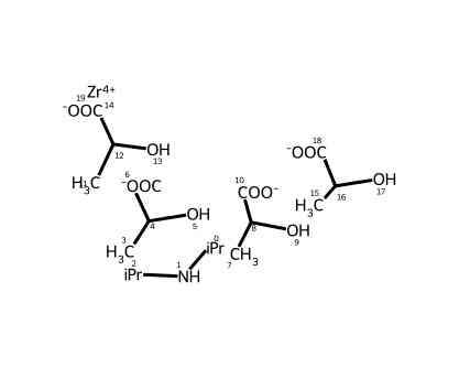 CC(C)NC(C)C.CC(O)C(=O)[O-].CC(O)C(=O)[O-].CC(O)C(=O)[O-].CC(O)C(=O)[O-].[Zr+4]